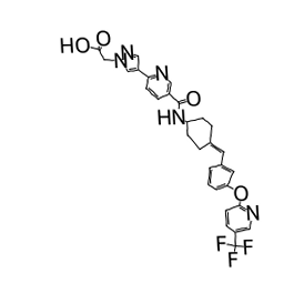 O=C(O)Cn1cc(-c2ccc(C(=O)NC3CCC(=Cc4cccc(Oc5ccc(C(F)(F)F)cn5)c4)CC3)cn2)cn1